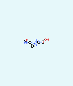 C=CC(=O)Nc1ccnc(-c2cccc3cnc(Nc4ccc(N5CCO[C@@H](CO)C5)nc4)nc23)c1